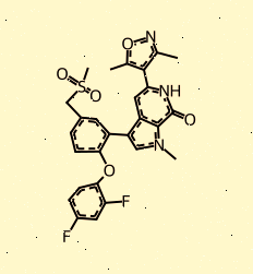 Cc1noc(C)c1-c1cc2c(-c3cc(CS(C)(=O)=O)ccc3Oc3ccc(F)cc3F)cn(C)c2c(=O)[nH]1